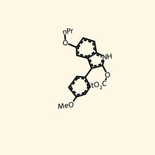 CCCOc1ccc2[nH]c(OC(=O)OCC)c(-c3ccc(OC)cc3)c2c1